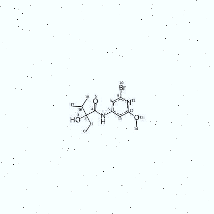 CCC(O)(C(=O)Nc1cc(Br)nc(OC)c1)C(C)C